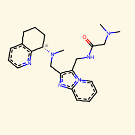 CN(C)CC(=O)NCc1c(CN(C)[C@H]2CCCc3cccnc32)nc2ccccn12